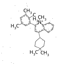 Cc1cc(C)c(C)c(-c2cc(C3CCC(C)(C)CC3)c3ccccc3[n+]2C)c1